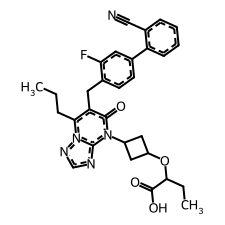 CCCc1c(Cc2ccc(-c3ccccc3C#N)cc2F)c(=O)n(C2CC(OC(CC)C(=O)O)C2)c2ncnn12